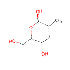 CC1C[C@H](O)C(CO)O[C@H]1O